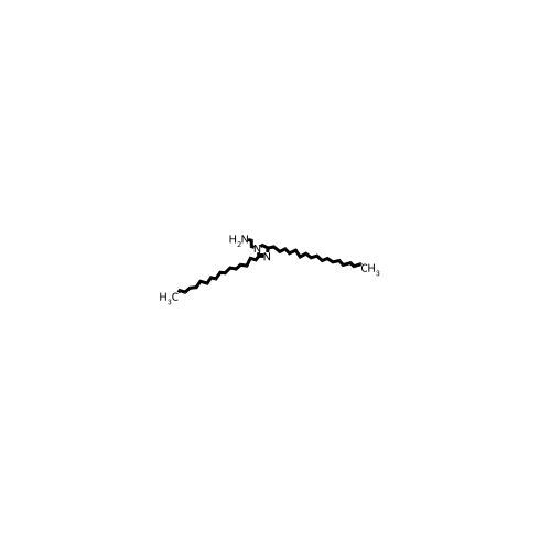 CCCCCCCCCCCCCCCCCCC1CN(CCN)C(CCCCCCCCCCCCCCCCC)=N1